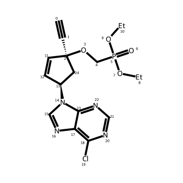 C#C[C@@]1(OCP(=O)(OCC)OCC)C=C[C@H](n2cnc3c(Cl)ncnc32)C1